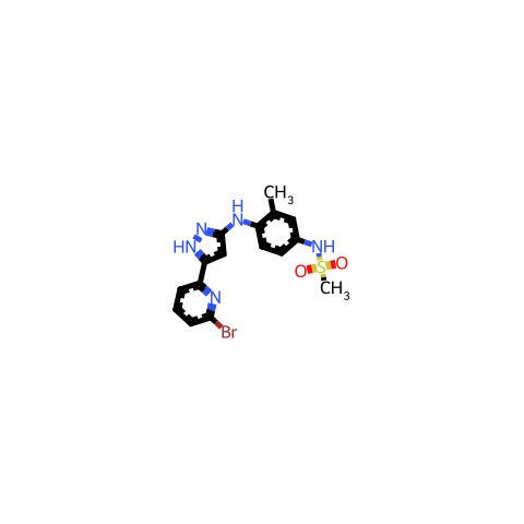 Cc1cc(NS(C)(=O)=O)ccc1Nc1cc(-c2cccc(Br)n2)[nH]n1